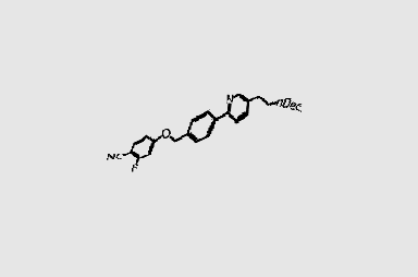 CCCCCCCCCCCCc1ccc(-c2ccc(COc3ccc(C#N)c(F)c3)cc2)nc1